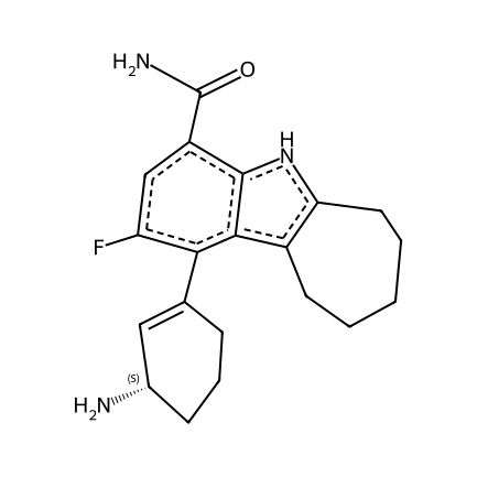 NC(=O)c1cc(F)c(C2=C[C@@H](N)CCC2)c2c3c([nH]c12)CCCCC3